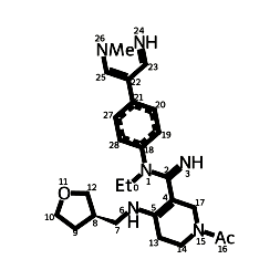 CCN(C(=N)C1=C(NC[C@H]2CCOC2)CCN(C(C)=O)C1)c1ccc(/C(C=N)=C/NC)cc1